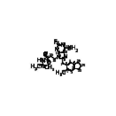 Cc1cc2c(cc1Cc1nc3c(N)nc(F)nc3n1CCS(=O)(=O)NC(C)C)CCC2